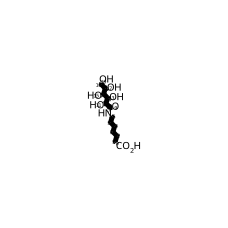 O=C(O)CCCCCCNC(=O)C(O)[C@@H](O)[C@H](O)C(O)CO